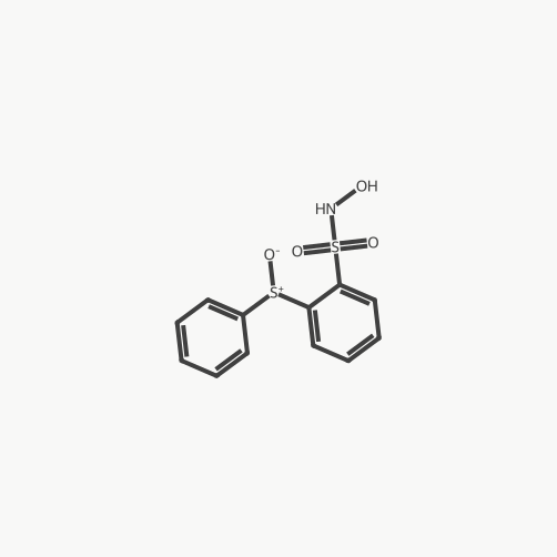 O=S(=O)(NO)c1ccccc1[S+]([O-])c1ccccc1